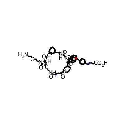 NCCOCCNC(=O)[C@@H]1CCNC(=O)/C=C/C(=O)N2CCC[C@](Cc3ccccc3)(C2)C(=O)N[C@@H](Cc2ccc(-c3ccc(/C=C/CC(=O)O)cc3)cc2)C(=O)NCc2ccccc2CC(=O)N1